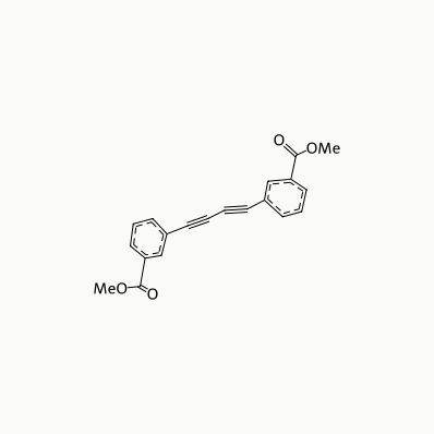 COC(=O)c1cccc(C#CC#Cc2cccc(C(=O)OC)c2)c1